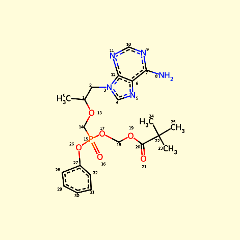 CC(Cn1cnc2c(N)ncnc21)OCP(=O)(OCOC(=O)C(C)(C)C)Oc1ccccc1